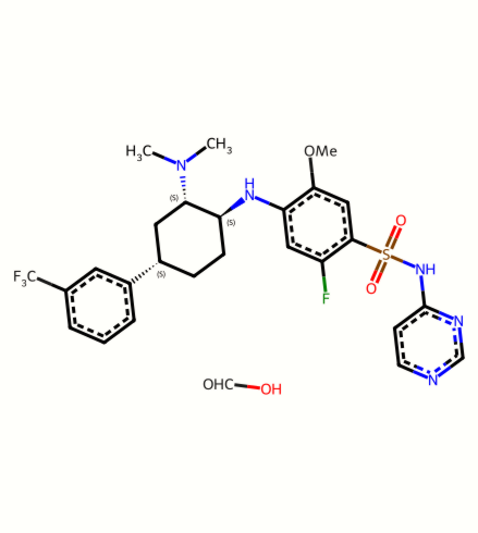 COc1cc(S(=O)(=O)Nc2ccncn2)c(F)cc1N[C@H]1CC[C@H](c2cccc(C(F)(F)F)c2)C[C@@H]1N(C)C.O=CO